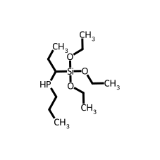 CCCPC(CC)[Si](OCC)(OCC)OCC